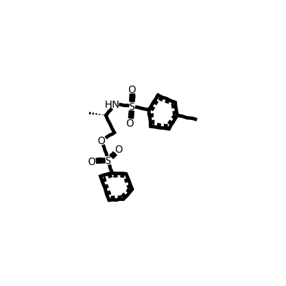 Cc1ccc(S(=O)(=O)N[C@@H](C)COS(=O)(=O)c2ccccc2)cc1